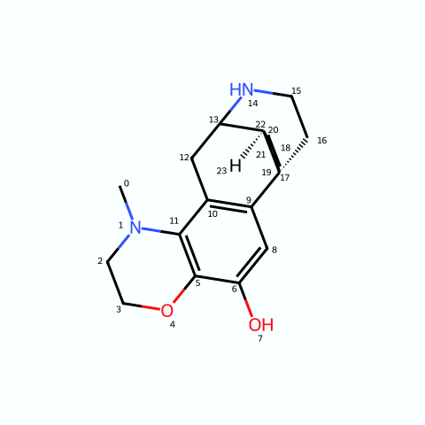 CN1CCOc2c(O)cc3c(c21)CC1NCC[C@]32CCCC[C@H]12